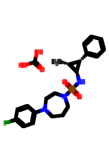 C[C@H]1[C@H](NS(=O)(=O)N2CCCN(c3ccc(F)cc3)CC2)[C@H]1c1ccccc1.O=C(O)O